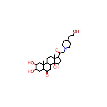 CC12C[C@H](O)C(O)CC1C(=O)C=C1C2CCC2(C)C(C(=O)CN3CCC(CCO)CC3)CCC12O